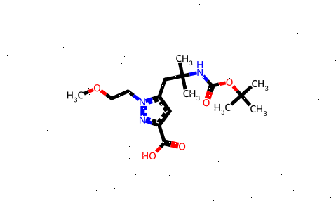 COCCn1nc(C(=O)O)cc1CC(C)(C)NC(=O)OC(C)(C)C